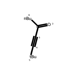 CCCCC(=O)C#CC(C)(C)C